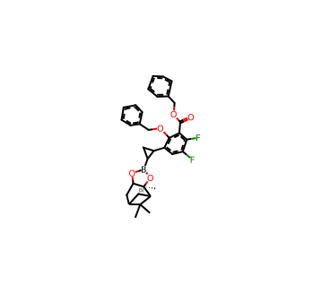 CC1(C)C2CC3OB(C4CC4c4cc(F)c(F)c(C(=O)OCc5ccccc5)c4OCc4ccccc4)O[C@@]3(C)C1C2